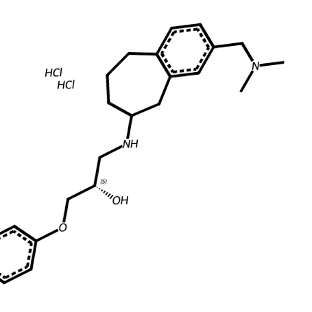 CN(C)Cc1ccc2c(c1)CC(NC[C@H](O)COc1ccccc1)CCC2.Cl.Cl